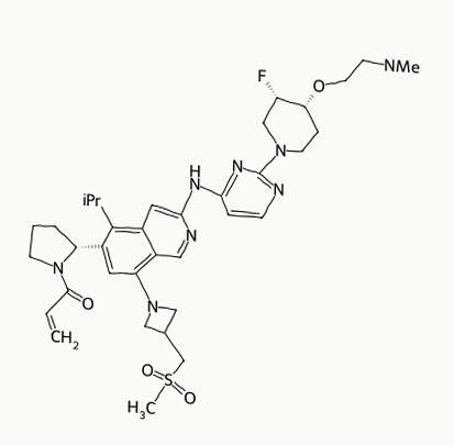 C=CC(=O)N1CCC[C@@H]1c1cc(N2CC(CS(C)(=O)=O)C2)c2cnc(Nc3ccnc(N4CC[C@@H](OCCNC)[C@@H](F)C4)n3)cc2c1C(C)C